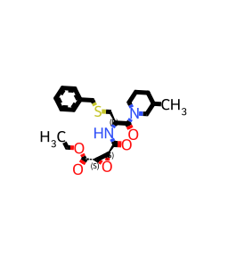 CCOC(=O)[C@H]1O[C@@H]1C(=O)N[C@@H](CSCc1ccccc1)C(=O)N1CCCC(C)C1